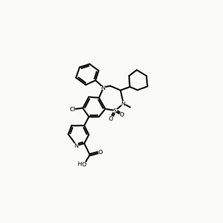 CN1C(C2CCCCC2)CN(c2ccccc2)c2cc(Cl)c(-c3ccnc(C(=O)O)c3)cc2S1(=O)=O